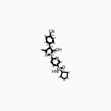 Cc1nn(-c2ccc(S(=N)(=O)C3CCCC3)cn2)c(O)c1-c1ccc(C#N)cc1